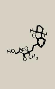 CC(=O)OC(C)(CCc1cccc2c1O[C@@H]1CCC[C@H]21)C(=O)OCO